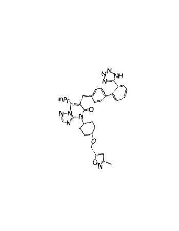 CCCc1c(Cc2ccc(-c3ccccc3-c3nnn[nH]3)cc2)c(=O)n(C2CCC(OCC3CC(C)=NO3)CC2)c2ncnn12